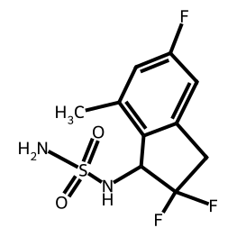 Cc1cc(F)cc2c1C(NS(N)(=O)=O)C(F)(F)C2